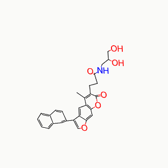 Cc1c(CCC(=O)NCC(O)CO)c(=O)oc2cc3occ(-c4ccc5ccccc5c4)c3cc12